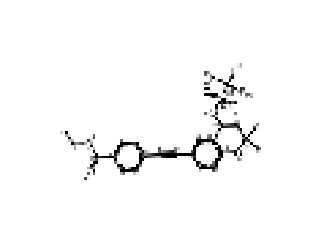 CCOC(=O)c1ccc(C#Cc2ccc3c(c2)C(OS(=O)(=O)C(F)(F)F)=CC(C)(C)O3)cc1